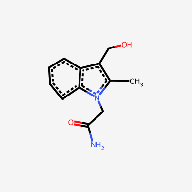 Cc1c(CO)c2ccccc2n1CC(N)=O